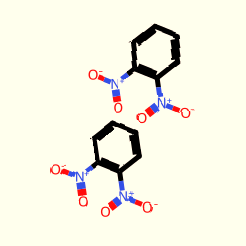 O=[N+]([O-])c1[c]cccc1[N+](=O)[O-].O=[N+]([O-])c1[c]cccc1[N+](=O)[O-]